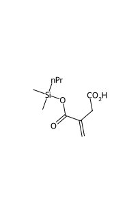 C=C(CC(=O)O)C(=O)O[Si](C)(C)CCC